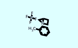 C1CN2CC12.Cc1ccccc1.F[B-](F)(F)F